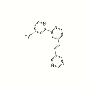 Cc1ccnc(-c2cc(C=Cc3cncnc3)ccn2)c1